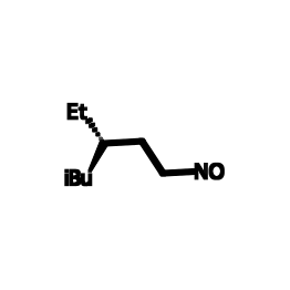 CC[C@H](CCN=O)[C@H](C)CC